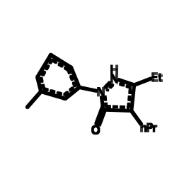 CCCc1c(CC)[nH]n(-c2cccc(C)c2)c1=O